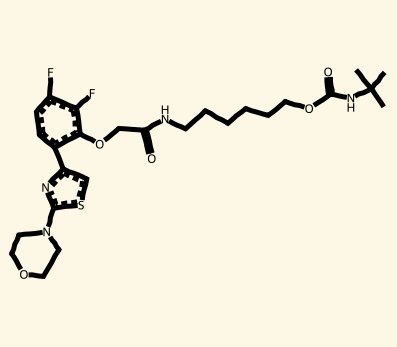 CC(C)(C)NC(=O)OCCCCCCNC(=O)COc1c(-c2csc(N3CCOCC3)n2)ccc(F)c1F